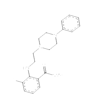 CNC(=O)c1cccc(O)c1NCCN1CCN(c2ccccc2)CC1